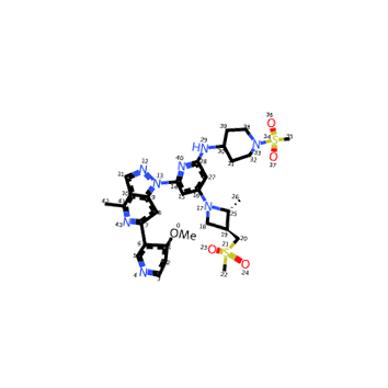 COc1ccncc1-c1cc2c(cnn2-c2cc(N3C[C@H](CS(C)(=O)=O)[C@H]3C)cc(NC3CCN(S(C)(=O)=O)CC3)n2)c(C)n1